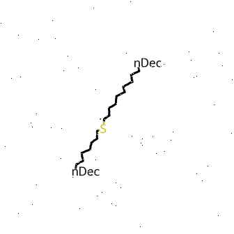 CCCCCCCCCCCCCCCCCCC[CH]SCCCCCCCCCCCCCCCCC